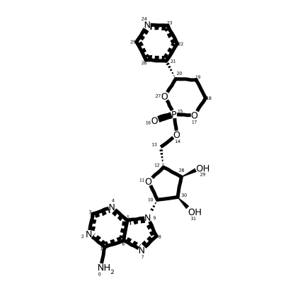 Nc1ncnc2c1ncn2[C@@H]1O[C@H](COP2(=O)OCC[C@@H](c3ccncc3)O2)[C@@H](O)[C@H]1O